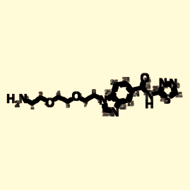 NCCOCCOCCn1cnc2cc(C(=O)Nc3nncs3)ccc21